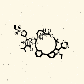 C=CS(=O)(=O)N1CC[C@H](C(=O)N(C)C(C(=O)N[C@H]2Cc3cccc(c3)-c3ccc4c(c3)c(c(-c3cncnc3)n4CC)CC(C)(C)COC(=O)[C@@H]3CCCN(N3)C2=O)C(C)C)C1